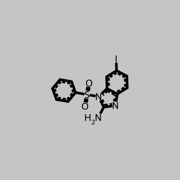 Nc1nc2ccc(I)cc2n1S(=O)(=O)c1ccccc1